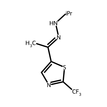 C/C(=N\NC(C)C)c1cnc(C(F)(F)F)s1